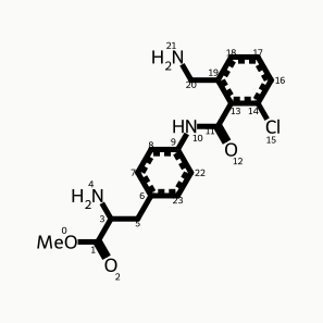 COC(=O)C(N)Cc1ccc(NC(=O)c2c(Cl)cccc2CN)cc1